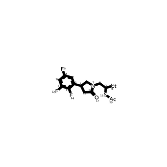 CCC(CN1CC(c2cc(F)cc(F)c2F)CC1=O)SC(C)=O